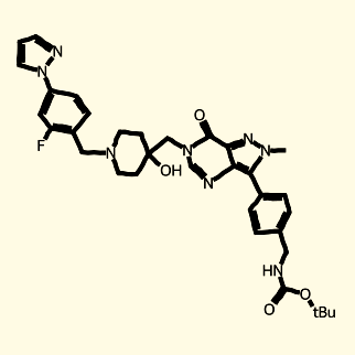 Cn1nc2c(=O)n(CC3(O)CCN(Cc4ccc(-n5cccn5)cc4F)CC3)cnc2c1-c1ccc(CNC(=O)OC(C)(C)C)cc1